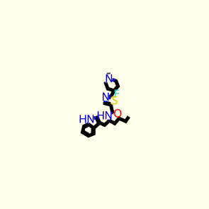 CCCCC(Cc1c[nH]c2ccccc12)NC(=O)c1cnc(C2(F)CCN(C)CC2)s1